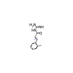 Cc1ccccc1/C=C/C(=O)NC(=N)N